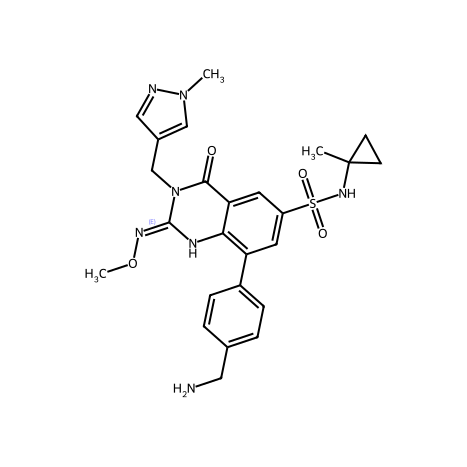 CO/N=c1\[nH]c2c(-c3ccc(CN)cc3)cc(S(=O)(=O)NC3(C)CC3)cc2c(=O)n1Cc1cnn(C)c1